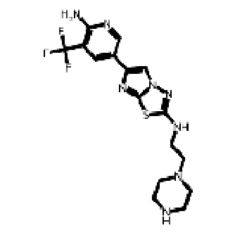 Nc1ncc(-c2cn3nc(NCCN4CCNCC4)sc3n2)cc1C(F)(F)F